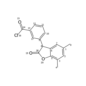 Cc1cc(C)c2c(c1)C(c1cccc(C(=O)Cl)c1)C(=O)O2